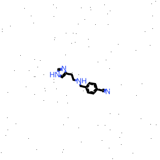 N#Cc1ccc(CNCCc2c[nH]cn2)cc1